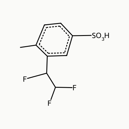 Cc1ccc(S(=O)(=O)O)cc1C(F)C(F)F